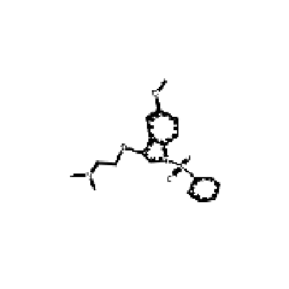 COc1ccc2c(c1)c(OCCN(C)C)cn2S(=O)(=O)c1ccccc1